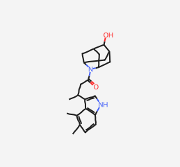 Cc1ccc2[nH]cc(C(C)CC(=O)N3C4CC5CC3CC(C4)C5O)c2c1C